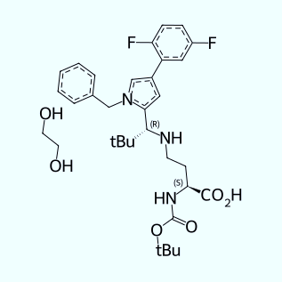 CC(C)(C)OC(=O)N[C@@H](CCN[C@@H](c1cc(-c2cc(F)ccc2F)cn1Cc1ccccc1)C(C)(C)C)C(=O)O.OCCO